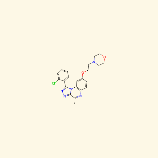 Cc1nc2ccc(OCCN3CCOCC3)cc2n2c(-c3ccccc3Cl)nnc12